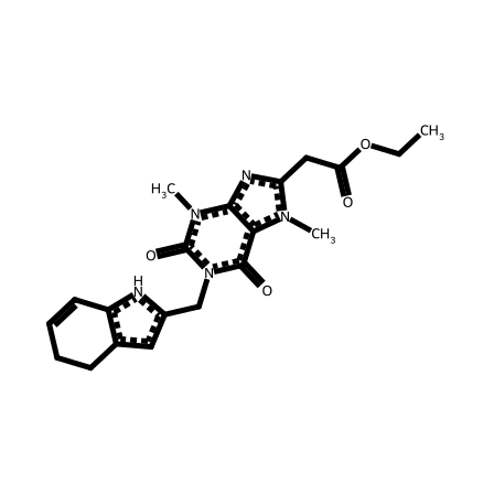 CCOC(=O)Cc1nc2c(c(=O)n(Cc3cc4c([nH]3)C=CCC4)c(=O)n2C)n1C